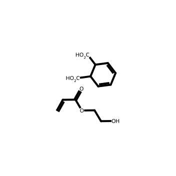 C=CC(=O)OCCO.O=C(O)C1C=CC=CC1C(=O)O